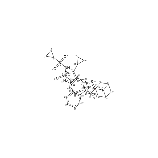 O=C(NS(=O)(=O)C1CC1)c1cnc2nc(N3C4CC(NCc5c(-c6ccccc6OC(F)(F)F)noc5C5CC5)CC3C4)sc2n1